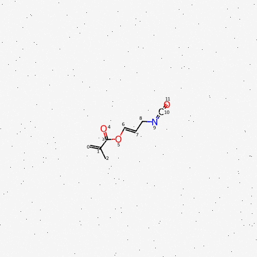 C=C(C)C(=O)OC=CCN=C=O